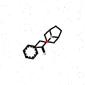 O=C(O)C1CC2CCC(C1)N2CCc1ccccc1